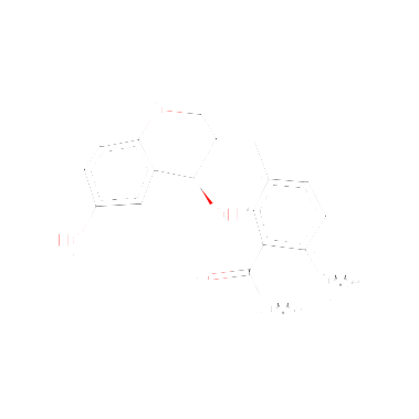 COC(=O)c1cc(C[C@H]2COc3ccc(O)cc3[C@@H]2O)ccc1OC